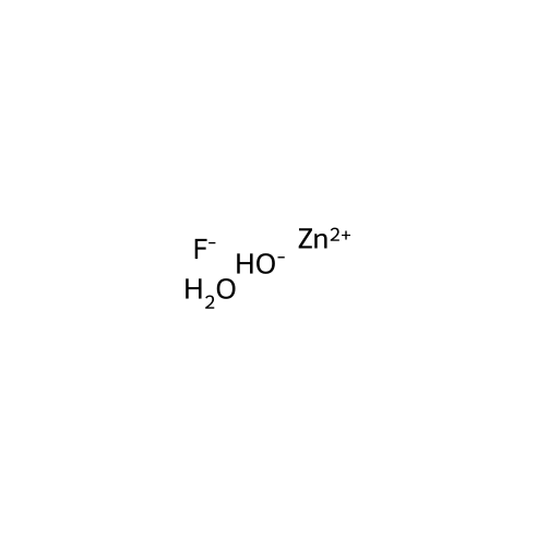 O.[F-].[OH-].[Zn+2]